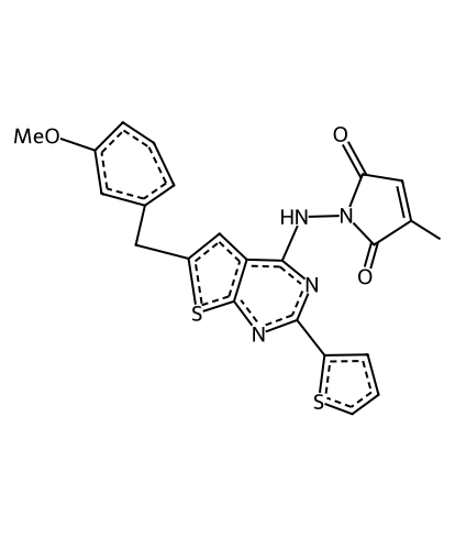 COc1cccc(Cc2cc3c(NN4C(=O)C=C(C)C4=O)nc(-c4cccs4)nc3s2)c1